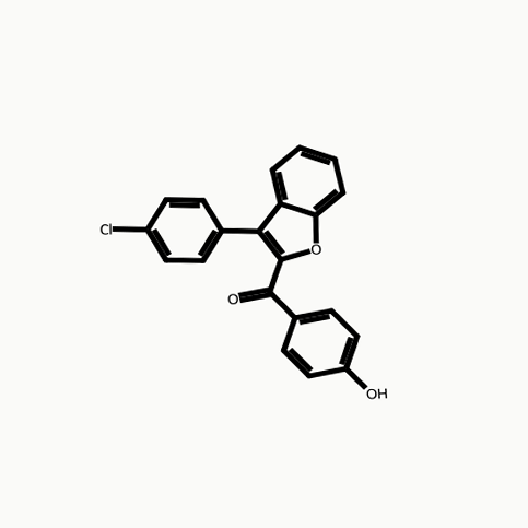 O=C(c1ccc(O)cc1)c1oc2ccccc2c1-c1ccc(Cl)cc1